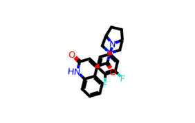 O=C(c1cc(=O)[nH]c2ccccc12)N1CC2CCC(C1)N2c1ccc(F)c(F)c1